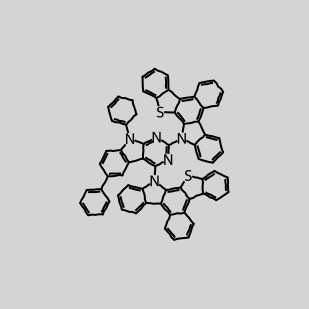 C1=CCCC(n2c3ccc(-c4ccccc4)cc3c3c(-n4c5ccccc5c5c6ccccc6c6c7ccccc7sc6c54)nc(-n4c5ccccc5c5c6ccccc6c6c7ccccc7sc6c54)nc32)=C1